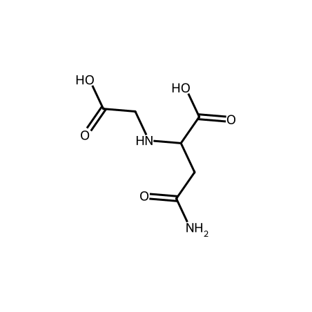 NC(=O)CC(NCC(=O)O)C(=O)O